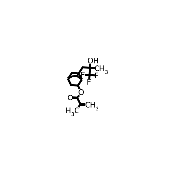 C=C(C)C(=O)OC1CC2CCC1C(CC(C)(O)C(F)(F)F)C2